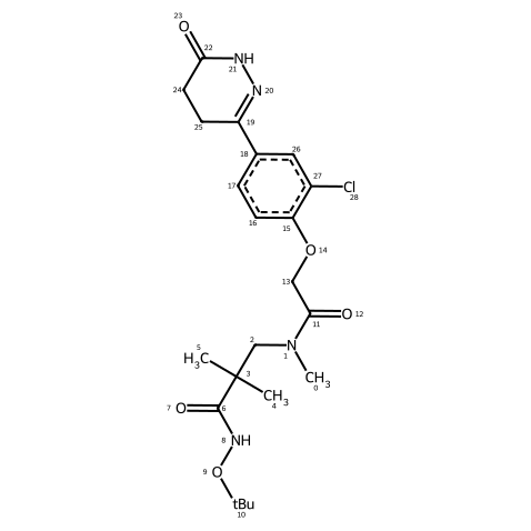 CN(CC(C)(C)C(=O)NOC(C)(C)C)C(=O)COc1ccc(C2=NNC(=O)CC2)cc1Cl